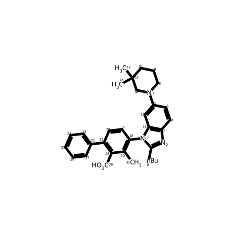 CCCCc1nc2ccc(N3CCCC(C)(C)C3)cc2n1-c1ccc(-c2ccccc2)c(C(=O)O)c1C